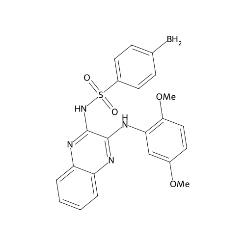 Bc1ccc(S(=O)(=O)Nc2nc3ccccc3nc2Nc2cc(OC)ccc2OC)cc1